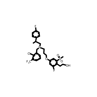 CC(CN(CCCOc1cc(F)c(CCO)c(S(C)(=O)=O)c1)Cc1cccc(C(F)(F)F)c1Cl)c1ccc(F)cc1